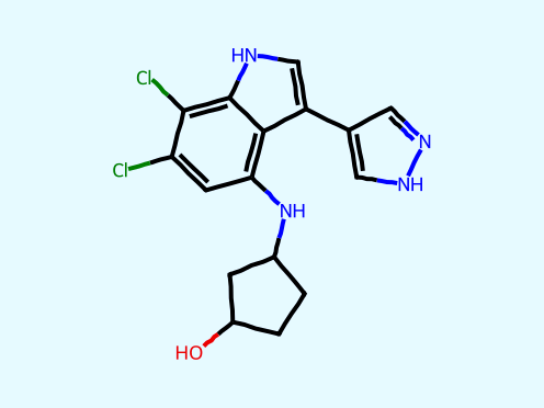 OC1CCC(Nc2cc(Cl)c(Cl)c3[nH]cc(-c4cn[nH]c4)c23)C1